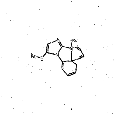 CC(=O)Sc1cnc2n1C1=CC=CCC13C=CC=C[N+]23C(C)(C)C